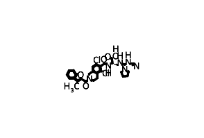 Cc1c(C(=O)N2CCc3c(cc(Cl)c(C(=O)N[C@@H](CNC(NC#N)N4CCCC4)C(=O)O)c3Cl)C2)oc2ccccc12